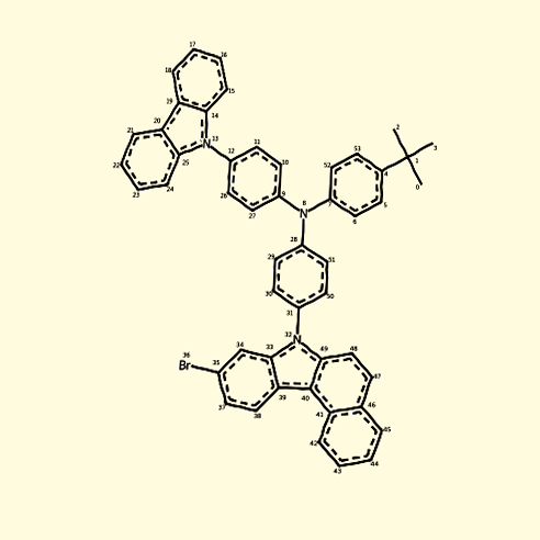 CC(C)(C)c1ccc(N(c2ccc(-n3c4ccccc4c4ccccc43)cc2)c2ccc(-n3c4cc(Br)ccc4c4c5ccccc5ccc43)cc2)cc1